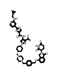 O=C1CCC(N2Cc3c(OCc4ccc(CN5CCN(C[C@H]6CC[C@H](n7cc(NC(=O)c8coc(-c9ccnc(NCC%10CC%10)c9)n8)c(C(F)F)n7)CC6)CC5)cc4)cccc3C2=O)C(=O)N1